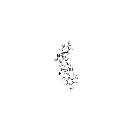 OC(CF)(CNc1c(F)cc(F)cc1F)c1ccc2c(cnn2-c2ccc(F)cc2)c1